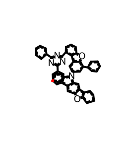 c1ccc(-c2nc(-c3ccccc3)nc(-c3cccc4oc5c(-c6ccccc6)cc(-n6c7ccccc7c7cc8oc9ccccc9c8cc76)cc5c34)n2)cc1